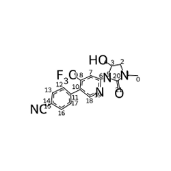 CN1CC(O)N(c2cc(C(F)(F)F)c(-c3ccc(C#N)cc3)cn2)C1=O